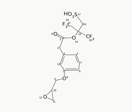 O=C(Cc1cccc(OCC2CO2)c1)OC(CS(=O)(=O)O)(C(F)(F)F)C(F)(F)F